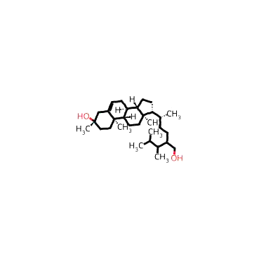 CC(C)C(C)C(CO)CC[C@@H](C)[C@H]1CC[C@H]2[C@@H]3CC=C4C[C@@](C)(O)CC[C@]4(C)[C@H]3CC[C@]12C